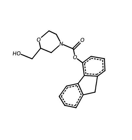 O=C(Oc1cccc2c1-c1ccccc1C2)N1CCOC(CO)C1